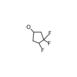 [O]C1CC(F)C(F)(F)C1